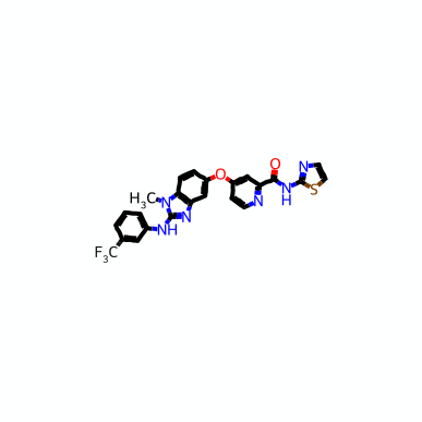 Cn1c(Nc2cccc(C(F)(F)F)c2)nc2cc(Oc3ccnc(C(=O)Nc4nccs4)c3)ccc21